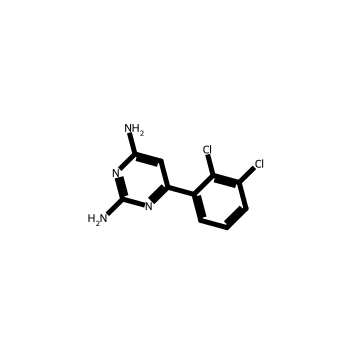 Nc1cc(-c2cccc(Cl)c2Cl)nc(N)n1